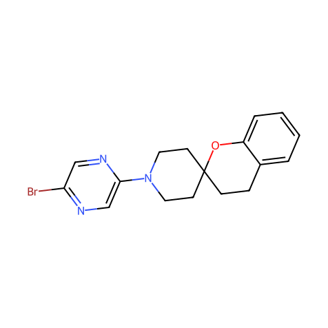 Brc1cnc(N2CCC3(CCc4ccccc4O3)CC2)cn1